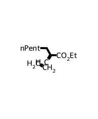 C=C.C=C(CCCCCC)C(=O)OCC